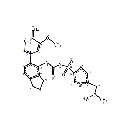 C=N/C(=C\C(=C/C)c1ccc2c(c1NC(=O)NS(=O)(=O)c1ccc(CN(C)C)cc1)CCC2)OC